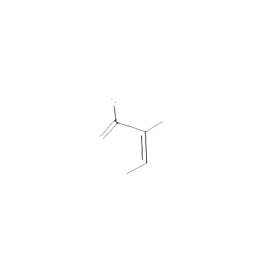 C/C(=C/Cl)C(N)=O